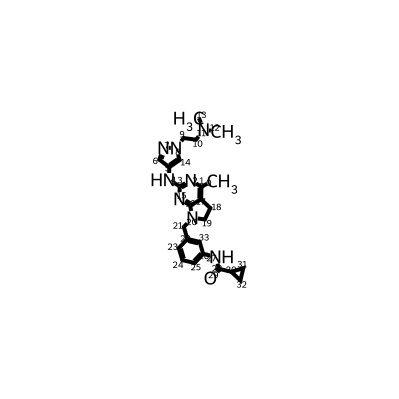 Cc1nc(Nc2cnn(CCN(C)C)c2)nc2c1CCN2Cc1cccc(NC(=O)C2CC2)c1